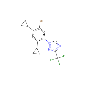 FC(F)(F)c1ncn(-c2cc(S)c(C3CC3)cc2C2CC2)n1